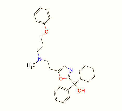 CN(CCCOc1[c]cccc1)CCc1cnc(C(O)(c2ccccc2)C2CCCCC2)o1